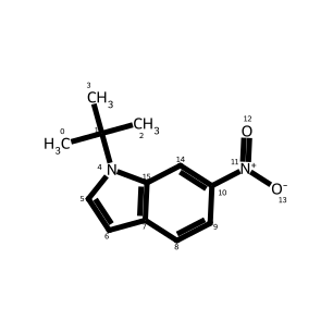 CC(C)(C)n1ccc2ccc([N+](=O)[O-])cc21